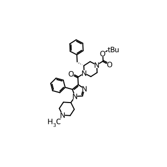 CN1CCC(n2cnc(C(=O)N3CCN(C(=O)OC(C)(C)C)C[C@H]3Cc3ccccc3)c2-c2ccccc2)CC1